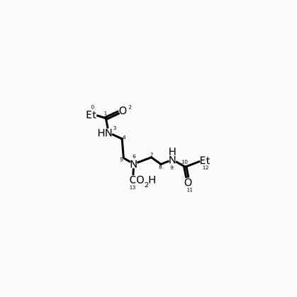 CCC(=O)NCCN(CCNC(=O)CC)C(=O)O